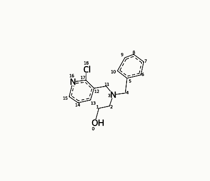 OCCN(Cc1ccccc1)Cc1cccnc1Cl